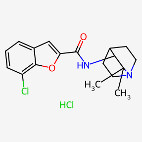 CC1(C)C(NC(=O)c2cc3cccc(Cl)c3o2)C2CCN1CC2.Cl